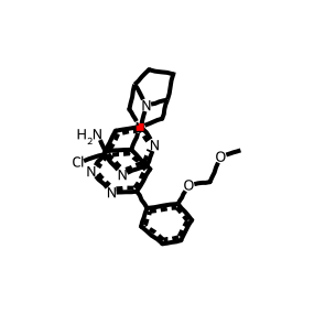 COCOc1ccccc1-c1cc(N2CC3CCC(C2)N3c2cc(Cl)ncn2)c(N)nn1